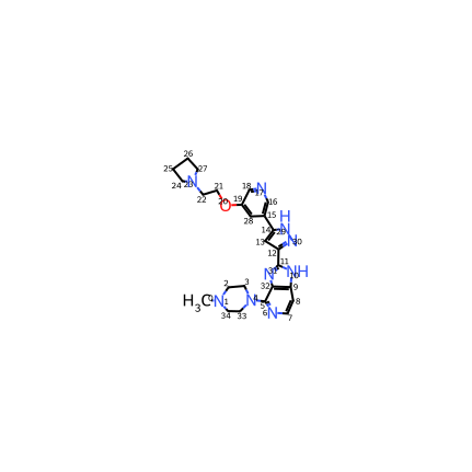 CN1CCN(c2nccc3[nH]c(-c4cc(-c5cncc(OCCN6CCCC6)c5)[nH]n4)nc23)CC1